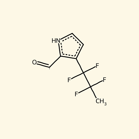 CC(F)(F)C(F)(F)c1cc[nH]c1[C]=O